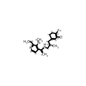 C=Nc1c(C(=C)NC[C@H](C)CC2=CC(Cl)=C(F)CC2)ccnc1CC